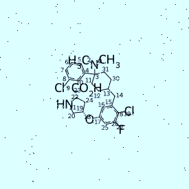 CN(C)C1(c2cccc(Cl)c2)CCC(Cc2cc(O[C@@H]3CN[C@H](C(=O)O)C3)cc(F)c2Cl)CC1